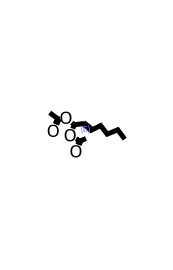 CCCC/C=C/C(OC(C)=O)OC(C)=O